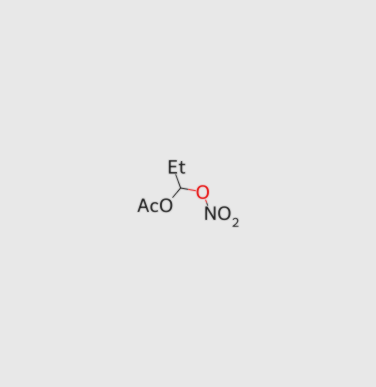 CCC(OC(C)=O)O[N+](=O)[O-]